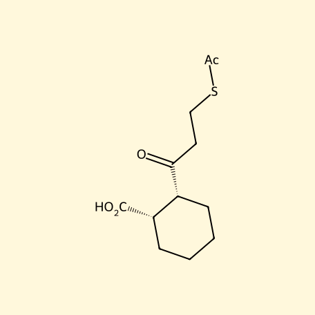 CC(=O)SCCC(=O)[C@@H]1CCCC[C@@H]1C(=O)O